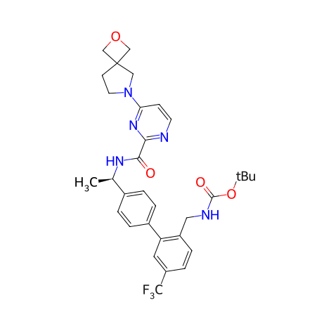 C[C@@H](NC(=O)c1nccc(N2CCC3(COC3)C2)n1)c1ccc(-c2cc(C(F)(F)F)ccc2CNC(=O)OC(C)(C)C)cc1